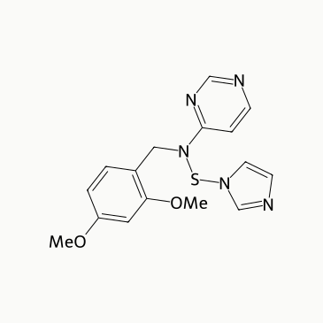 COc1ccc(CN(Sn2ccnc2)c2ccncn2)c(OC)c1